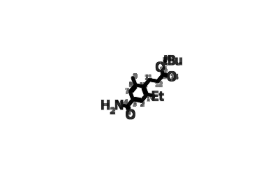 CCc1cc(C(N)=O)cc(C)c1CCC(=O)OC(C)(C)C